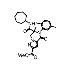 COC(=O)c1cc2n(n1)CC(C)(C(=O)NC1CCCCCC1)N(c1cc(C)ccc1C)C2=O